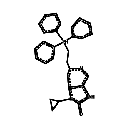 O=c1[nH]c2cnc(CC[PH](c3ccccc3)(c3ccccc3)c3ccccc3)cc2n1C1CC1